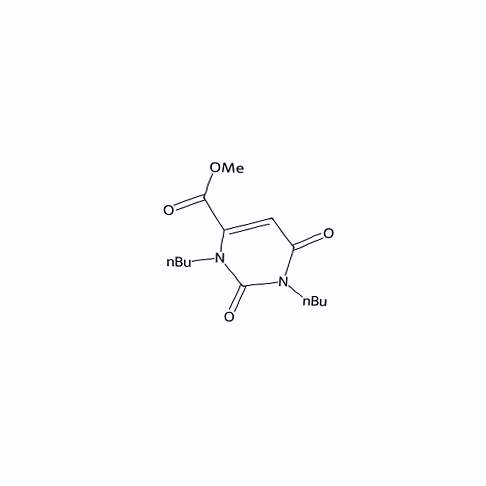 CCCCn1c(C(=O)OC)cc(=O)n(CCCC)c1=O